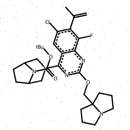 C=C(C)c1c(Cl)cc2c(N3CC4CCC(C3)N4C(=O)OC(C)(C)C)nc(OCC34CCCN3CCC4)nc2c1F